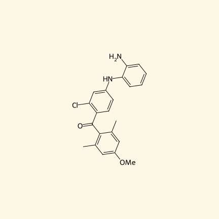 COc1cc(C)c(C(=O)c2ccc(Nc3ccccc3N)cc2Cl)c(C)c1